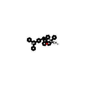 CN1c2cccc3c2N(c2ccccc2C32c3ccccc3-c3c(-c4ccc(-c5cc(-c6ccccc6)nc(-c6ccccc6)c5)cc4)cccc32)C1c1ccccc1